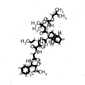 CCC[C@H](NC(=O)[C@@H]1[C@@H]2C(CN1C(=O)[C@@H](NC(=O)OCC(C)C)C(C)(C)C)[C@@H]1CC[C@@H]2C1)C(=O)C(=O)NCC(=O)NC(C(=O)N(C)C)c1ccccc1